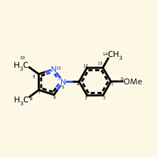 COc1ccc(-n2cc(C)c(C)n2)cc1C